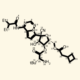 CCC(CC)C(=O)Nc1ncnn2c([C@]3(C#N)O[C@H](COC(=O)CC4CCC4)[C@@H](OC(=O)[C@H](N)C(C)(C)C)[C@H]3O)ccc12